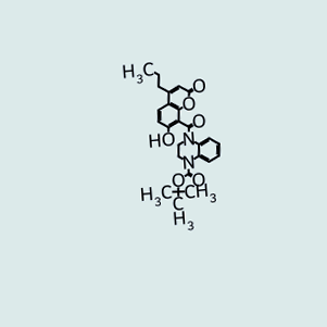 CCCc1cc(=O)oc2c(C(=O)N3CCN(C(=O)OC(C)(C)C)c4ccccc43)c(O)ccc12